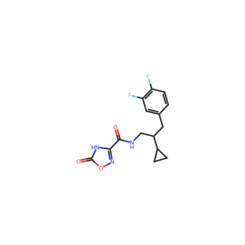 O=C(NCC(Cc1ccc(F)c(F)c1)C1CC1)c1noc(=O)[nH]1